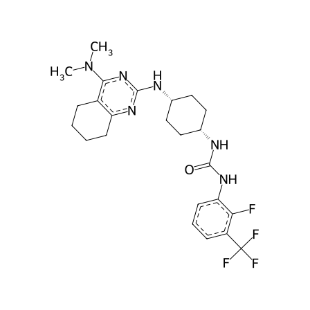 CN(C)c1nc(N[C@H]2CC[C@@H](NC(=O)Nc3cccc(C(F)(F)F)c3F)CC2)nc2c1CCCC2